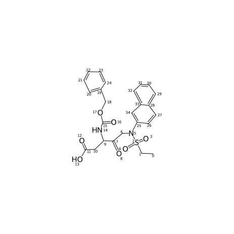 CCS(=O)(=O)N(CC(=O)C(CC(=O)O)NC(=O)OCc1ccccc1)c1ccc2ccccc2c1